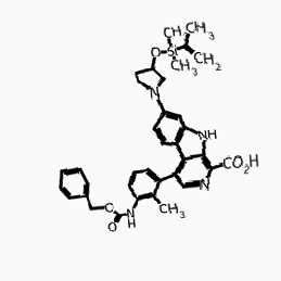 C=C(C)[Si](C)(C)OC1CCN(c2ccc3c(c2)[nH]c2c(C(=O)O)ncc(-c4cccc(NC(=O)OCc5ccccc5)c4C)c23)C1